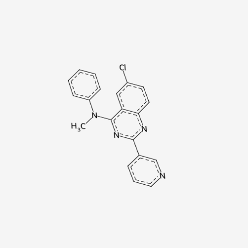 CN(c1ccccc1)c1nc(-c2cccnc2)nc2ccc(Cl)cc12